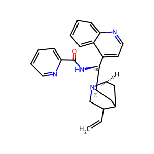 C=CC1CN2CCC1C[C@@H]2[C@@H](NC(=O)c1ccccn1)c1ccnc2ccccc12